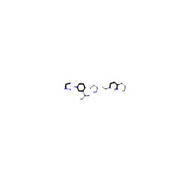 CC(=O)CC(CN1CC[C@@H](CCc2ccc3c(n2)NCCC3)C1)c1cccc(-n2nc(C)cc2C)c1